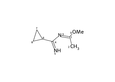 CO/C(C)=N/C(=N)C1CC1